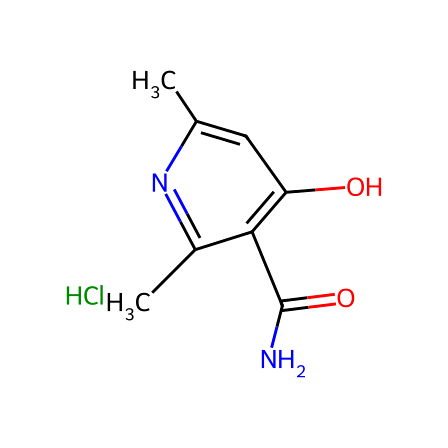 Cc1cc(O)c(C(N)=O)c(C)n1.Cl